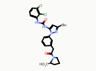 CC(C)(C)c1cc(NC(=O)Nc2cccc(Cl)c2Cl)n(-c2cccc(CC(=O)N3CCC[C@H]3C(=O)O)c2)n1